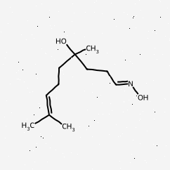 CC(C)=CCCC(C)(O)CCC=NO